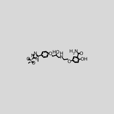 Cn1c(-c2ccc(OCC(O)CNCCOc3ccc(O)c(C(N)=O)c3)cc2)nnc1S(C)(=O)=O